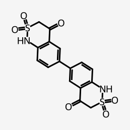 O=C1CS(=O)(=O)Nc2ccc(-c3ccc4c(c3)C(=O)CS(=O)(=O)N4)cc21